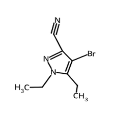 CCc1c(Br)c(C#N)nn1CC